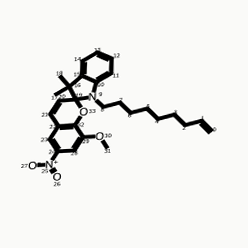 C=CCCCCCCCN1c2ccccc2C(C)(C)C12C=Cc1cc([N+](=O)[O-])cc(OC)c1O2